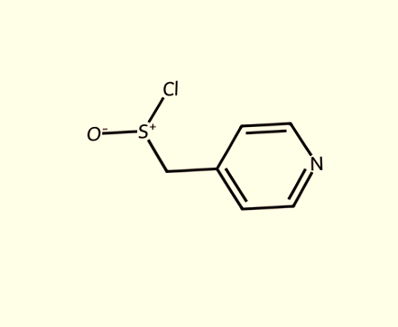 [O-][S+](Cl)Cc1ccncc1